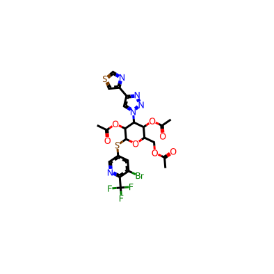 CC(=O)OCC1OC(Sc2cnc(C(F)(F)F)c(Br)c2)C(OC(C)=O)C(n2cc(-c3cscn3)nn2)C1OC(C)=O